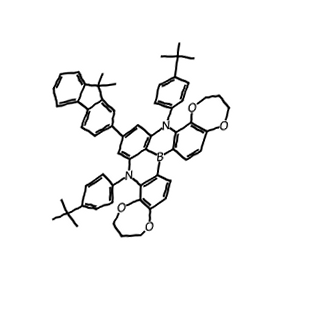 CC(C)(C)c1ccc(N2c3cc(-c4ccc5c(c4)C(C)(C)c4ccccc4-5)cc4c3B(c3ccc5c(c32)OCCCO5)c2ccc3c(c2N4c2ccc(C(C)(C)C)cc2)OCCCO3)cc1